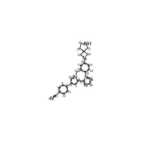 N#Cc1ccc(-c2cc3n(c2)Cc2cc(N4CC5(CCNC5)C4)ccc2-n2ncnc2-3)cc1